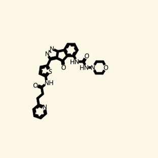 O=C(CCc1ccccn1)Nc1ccc(C2=C3C(=O)c4c(NC(=O)NN5CCOCC5)cccc4C3N=N2)s1